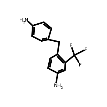 Nc1ccc(Cc2ccc(N)cc2C(F)(F)F)cc1